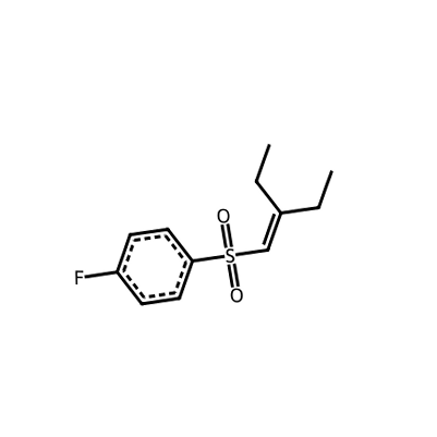 CCC(=CS(=O)(=O)c1ccc(F)cc1)CC